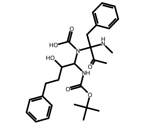 CNC(Cc1ccccc1)(C(C)=O)N(C(=O)O)C(NC(=O)OC(C)(C)C)C(O)CCc1ccccc1